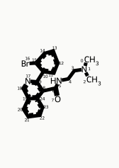 CN(C)CCNC(=O)c1c(-c2ccccc2Br)ncc2ccccc12